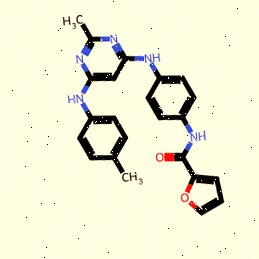 Cc1ccc(Nc2cc(Nc3ccc(NC(=O)c4ccco4)cc3)nc(C)n2)cc1